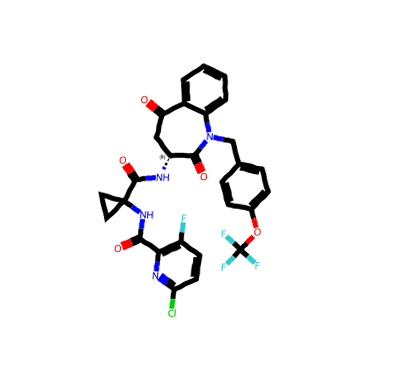 O=C1C[C@@H](NC(=O)C2(NC(=O)c3nc(Cl)ccc3F)CC2)C(=O)N(Cc2ccc(OC(F)(F)F)cc2)c2ccccc21